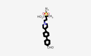 CC(CCN1CC=C(c2ccc(-c3ccc(C=O)cc3)cc2)CC1)(C(=O)O)S(C)(=O)=O